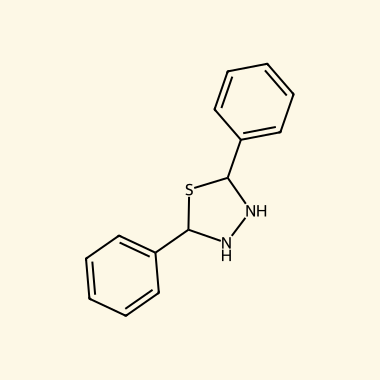 c1ccc(C2NNC(c3ccccc3)S2)cc1